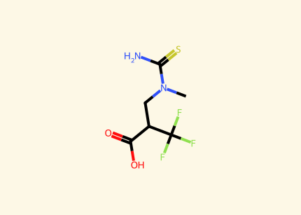 CN(CC(C(=O)O)C(F)(F)F)C(N)=S